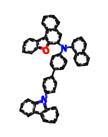 c1ccc2c(N(c3ccc(-c4ccc(-n5c6ccccc6c6ccccc65)cc4)cc3)c3cc4ccccc4c4c3oc3ccccc34)cccc2c1